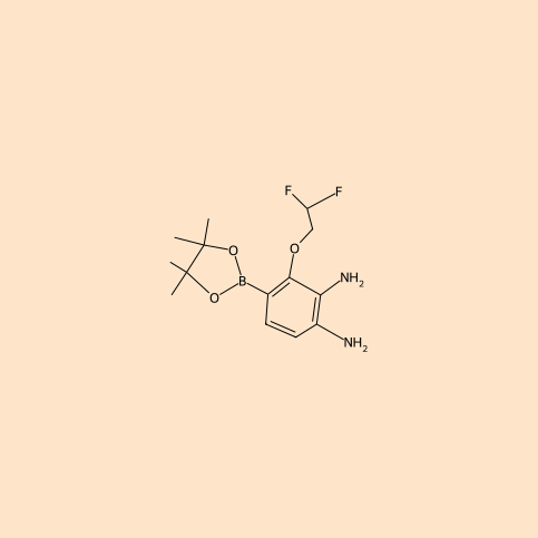 CC1(C)OB(c2ccc(N)c(N)c2OCC(F)F)OC1(C)C